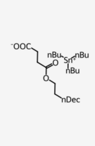 CCCCCCCCCCCCOC(=O)CCC(=O)[O-].CCC[CH2][Sn+]([CH2]CCC)[CH2]CCC